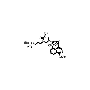 COc1ncc(C2CC2)c2c(S(=O)(=O)NC(C)CN(CCCO[Si](C)(C)C(C)(C)C)C(=O)OC(C)(C)C)cccc12